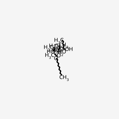 C=C(C)C(=O)O.C=C(C)C(=O)O.C=C(C)C(=O)OCCCCCCCCCC.CCCCCC(O)O